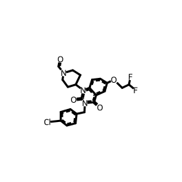 O=CN1CCC(n2c(=O)n(Cc3ccc(Cl)cc3)c(=O)c3cc(OCC(F)F)ccc32)CC1